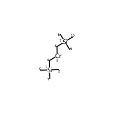 C[Si](C)(C)[CH2][Cr][CH2][Si](C)(C)C